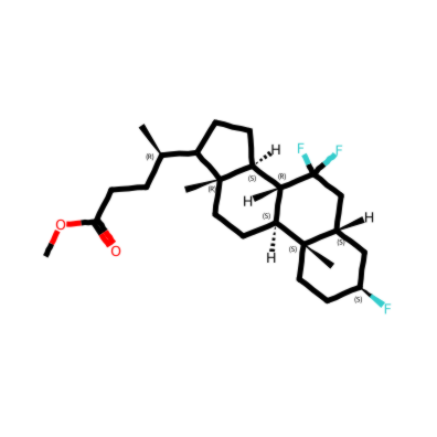 COC(=O)CC[C@@H](C)C1CC[C@H]2[C@H]3[C@H](CC[C@]12C)[C@@]1(C)CC[C@H](F)C[C@H]1CC3(F)F